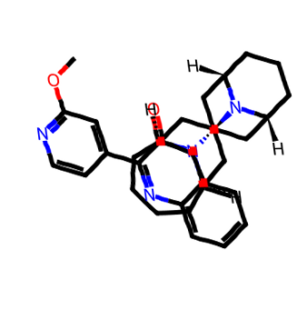 COc1cc(-c2nc3ccccc3n([C@H]3C[C@H]4CCC[C@@H](C3)N4[C@@H]3C[C@@H]4CCCC[C@@H](C4)C3)c2=O)ccn1